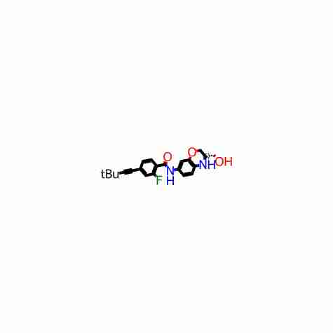 CC(C)(C)C#Cc1ccc(C(=O)Nc2ccc3c(c2)OC[C@H](CO)N3)c(F)c1